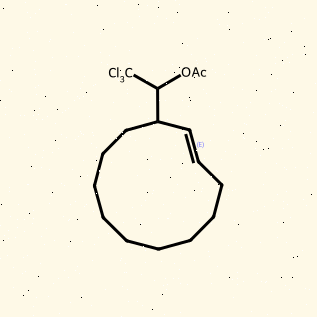 CC(=O)OC(C1/C=C/CCCCCCCCC1)C(Cl)(Cl)Cl